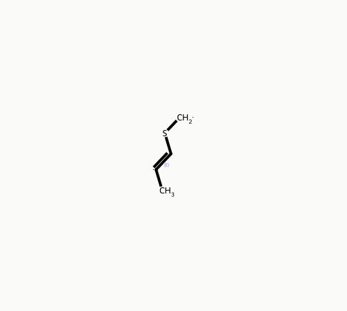 [CH2]S/C=[C]/C